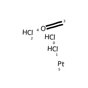 Cl.Cl.Cl.[C]=O.[Pt]